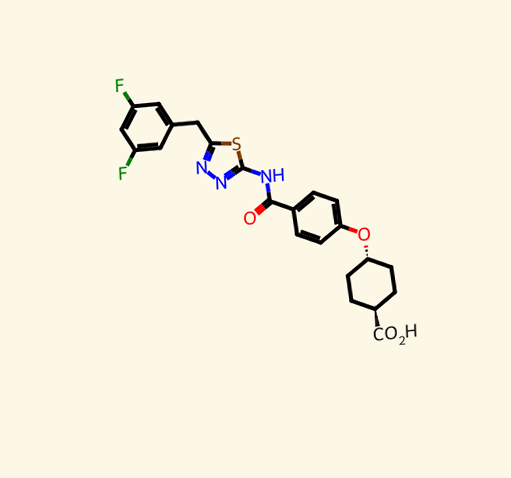 O=C(Nc1nnc(Cc2cc(F)cc(F)c2)s1)c1ccc(O[C@H]2CC[C@H](C(=O)O)CC2)cc1